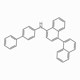 c1ccc(-c2ccc(Nc3ccc(-c4cccc5ccccc45)c4ccccc34)cc2)cc1